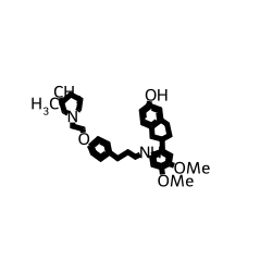 COc1cc(NCCCc2ccc(OCCN3CCCC(C)(C)C3)cc2)c(C2CCc3cc(O)ccc3C2)cc1OC